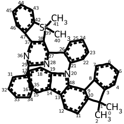 CC1(C)c2ccccc2-c2c1ccc1c3ccccc3n(-c3ccccc3-c3nc(-c4ccccc4)nc4c3[Si](C)(C)c3ccccc3-4)c21